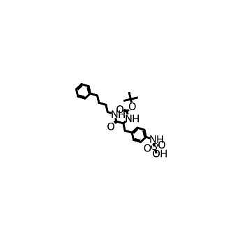 CC(C)(C)OC(=O)NC(Cc1ccc(NS(=O)(=O)O)cc1)C(=O)NCCCCc1ccccc1